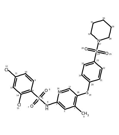 Cc1cc(NS(=O)(=O)c2ccc(Cl)cc2Cl)ncc1Sc1ccc(S(=O)(=O)N2CCCCC2)cc1